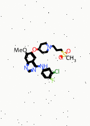 COc1cc2ncnc(Nc3ccc(F)c(Cl)c3)c2cc1OC1CCN(CCCS(C)(=O)=O)CC1